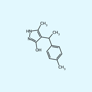 Cc1ccc(C(C)c2c(O)n[nH]c2C)cc1